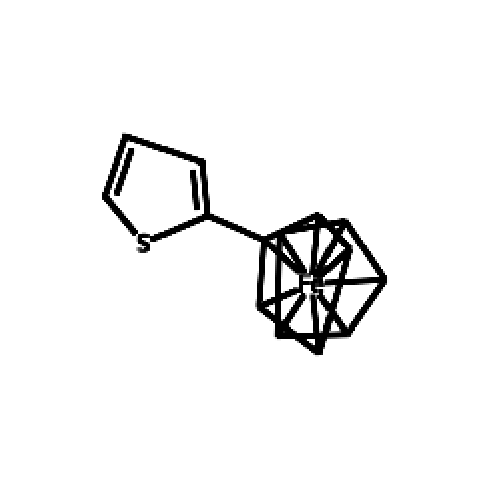 c1csc([C]23[CH]4[CH]5[CH]6[CH]2[Fe]56432789[CH]3[CH]2[CH]7[CH]8[CH]39)c1